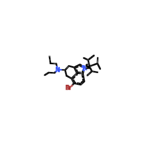 CCCN(CCC)C1Cc2cn([Si](C(C)C)(C(C)C)C(C)C)c3ccc(Br)c(c23)C1